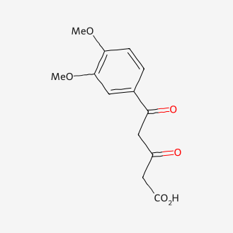 COc1ccc(C(=O)CC(=O)CC(=O)O)cc1OC